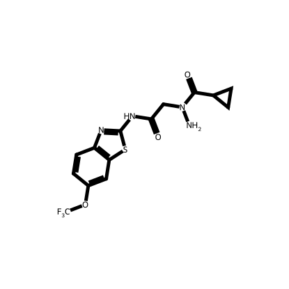 NN(CC(=O)Nc1nc2ccc(OC(F)(F)F)cc2s1)C(=O)C1CC1